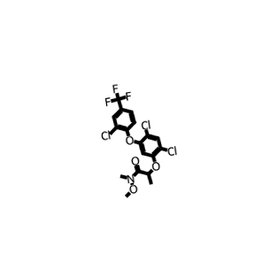 CON(C)C(=O)C(C)Oc1cc(Oc2ccc(C(F)(F)F)cc2Cl)c(Cl)cc1Cl